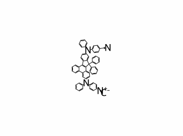 [C-]#[N+]c1ccc(N(c2ccccc2)c2ccc3c4c(c5ccccc5c3c2)-c2ccc(N(c3ccccc3)c3ccc(C#N)cc3)cc2C4(c2ccccc2)c2ccccc2)cc1